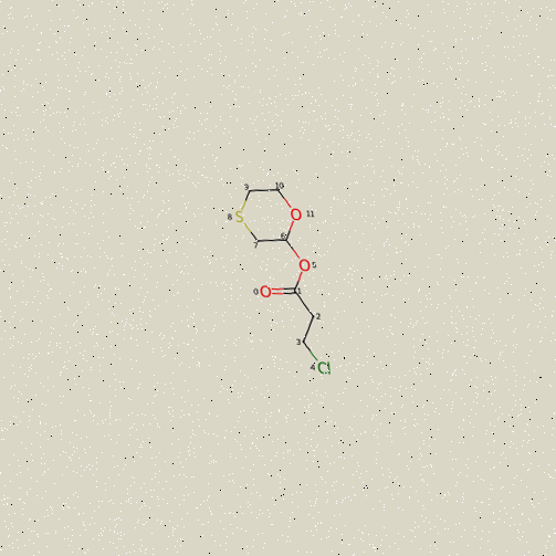 O=C(CCCl)OC1CSCCO1